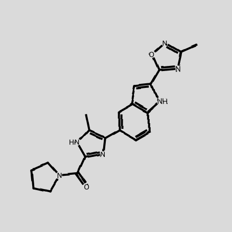 Cc1noc(-c2cc3cc(-c4nc(C(=O)N5CCCC5)[nH]c4C)ccc3[nH]2)n1